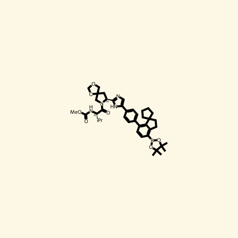 COC(=O)N[C@H](C(=O)N1CC2(COCO2)C[C@H]1c1ncc(-c2ccc(-c3ccc(B4OC(C)(C)C(C)(C)O4)c4c3C3(CCCC3)CC4)cc2)[nH]1)C(C)C